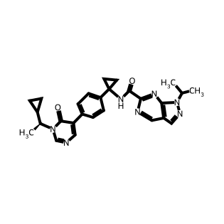 CC(C)n1ncc2cnc(C(=O)NC3(c4ccc(-c5cncn([C@@H](C)C6CC6)c5=O)cc4)CC3)nc21